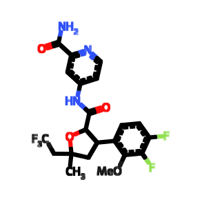 COc1c(C2CC(C)(CC(F)(F)F)OC2C(=O)Nc2ccnc(C(N)=O)c2)ccc(F)c1F